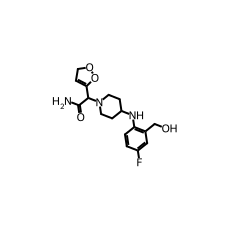 NC(=O)C(C1=CCOO1)N1CCC(Nc2ccc(F)cc2CO)CC1